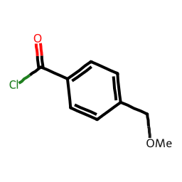 COCc1ccc(C(=O)Cl)cc1